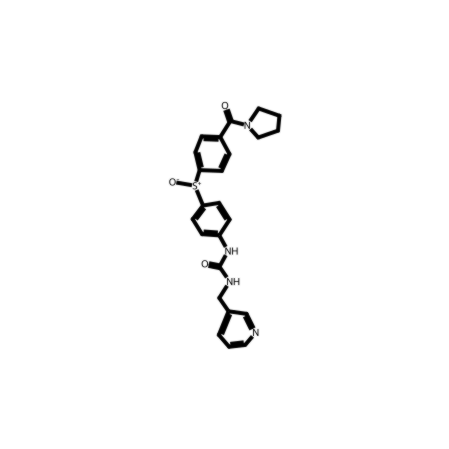 O=C(NCc1cccnc1)Nc1ccc([S+]([O-])c2ccc(C(=O)N3CCCC3)cc2)cc1